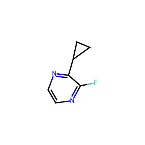 Fc1nccnc1C1CC1